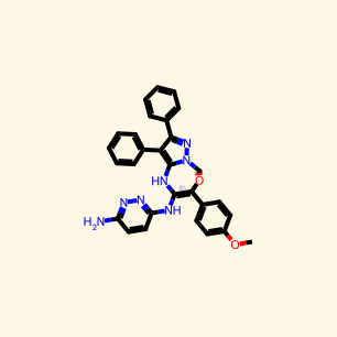 COc1ccc(/C(C)=C(\Nc2ccc(N)nn2)Nc2c(-c3ccccc3)c(-c3ccccc3)nn2C=O)cc1